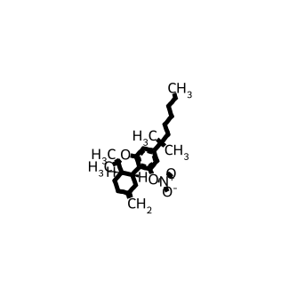 C=C1CC[C@@H]2[C@@H](C1)c1c(O[N+](=O)[O-])cc(C(C)(C)CCCCCC)cc1OC2(C)C